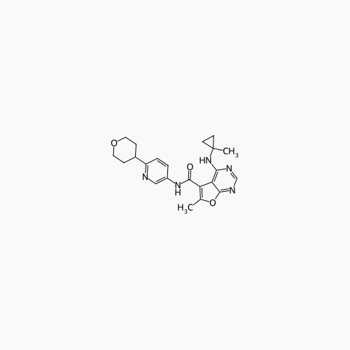 Cc1oc2ncnc(NC3(C)CC3)c2c1C(=O)Nc1ccc(C2CCOCC2)nc1